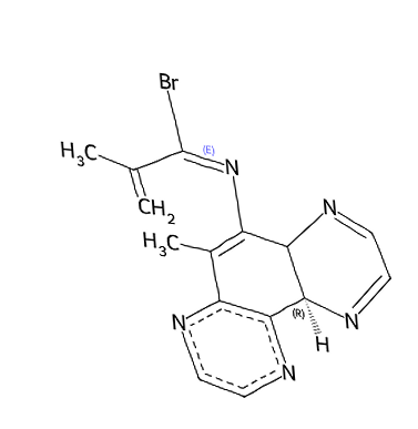 C=C(C)/C(Br)=N\C1=C(C)c2nccnc2[C@@H]2N=CC=NC12